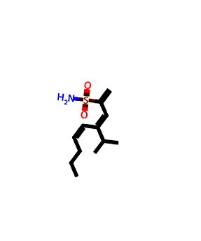 C=C(/C=C(\C=C/CCC)C(C)C)S(N)(=O)=O